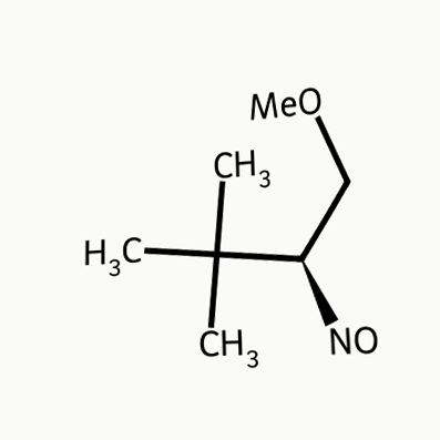 COC[C@@H](N=O)C(C)(C)C